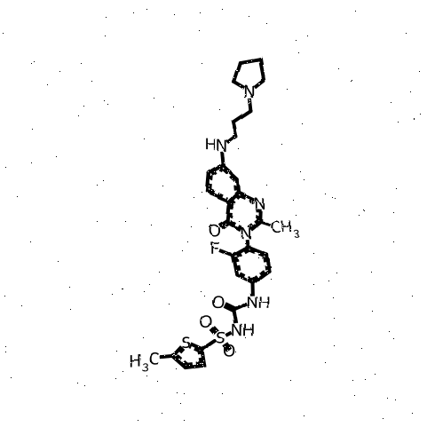 Cc1ccc(S(=O)(=O)NC(=O)Nc2ccc(-n3c(C)nc4cc(NCCCN5CCCC5)ccc4c3=O)c(F)c2)s1